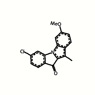 COc1ccc2c(C)c3n(c2c1)-c1cc(Cl)ccc1C3=O